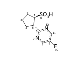 O=S(=O)(O)[C@@H]1CCC[C@H]1c1ncc(F)cn1